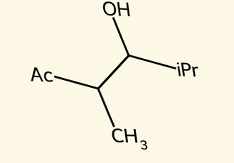 CC(=O)C(C)C(O)C(C)C